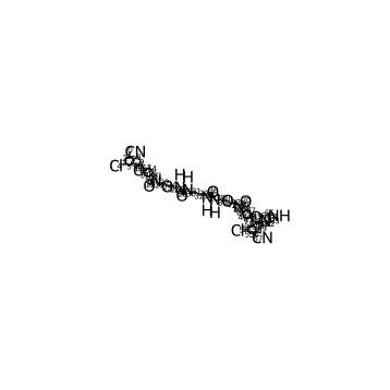 N#Cc1cc(Cl)cc2c1CC[C@H]2Oc1ccc2c(c1)C(=O)N(CCOCCNC(=O)NCCCCNC(=O)NCCOCCN1Cc3ccc(O[C@H]4c5cc(Cl)cc(C#N)c5C[C@@H]4N4CCNCC4)cc3C1=O)C2